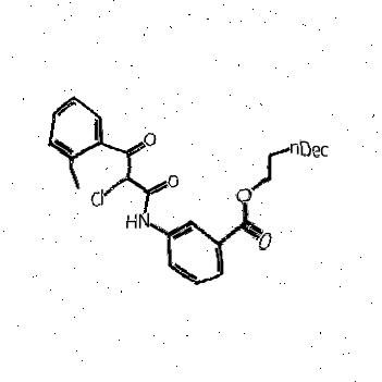 CCCCCCCCCCCCOC(=O)c1cccc(NC(=O)C(Cl)C(=O)c2ccccc2C)c1